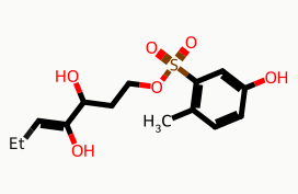 CCC=C(O)C(O)CCOS(=O)(=O)c1cc(O)ccc1C